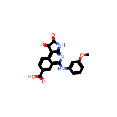 COc1cccc(Nc2nc3c(c4ccc(C(=O)O)cc24)C(=O)C(=O)N3)c1